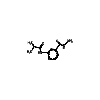 CC(C)C(=O)Nc1cc(C(=O)NN)ccn1